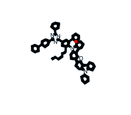 C=C/C=C\C=C\c1cc(-c2nc(-c3ccccc3)nc(-c3ccc(-c4ccccc4)cc3)n2)cc(-c2ccccc2)c1-n1c2ccccc2c2c3oc4c(ccc5c4c4ccccc4n5-c4ccccc4)c3ccc21